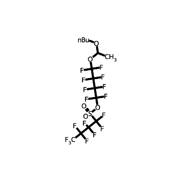 CCCCOC(C)OC(F)(F)C(F)(F)C(F)(F)C(F)(F)OS(=O)(=O)C(F)(F)C(F)(F)C(F)(F)C(F)(F)F